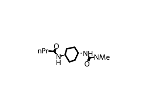 CCCC(=O)N[C@H]1CC[C@H](NC(=O)NC)CC1